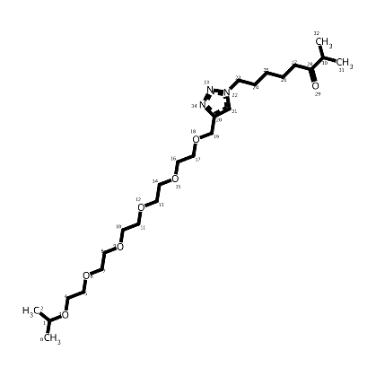 CC(C)OCCOCCOCCOCCOCCOCc1cn(CCCCCC(=O)C(C)C)nn1